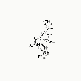 COC(=O)c1ccc(-c2nc(C(F)(F)F)cn2C(C)C)c(O)c1